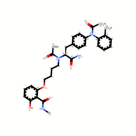 CCNC(=O)c1c(O)cccc1OCCCCN(C(=O)OC)[C@@H](Cc1ccc(N(C(=O)C(=O)O)c2ccccc2C(=O)O)cc1)C(N)=O